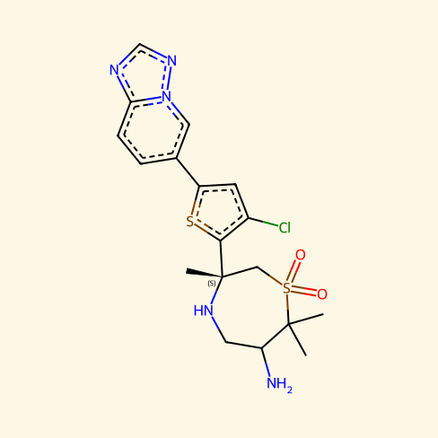 CC1(C)C(N)CN[C@](C)(c2sc(-c3ccc4ncnn4c3)cc2Cl)CS1(=O)=O